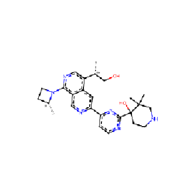 C[C@H](CO)c1cnc(N2CC[C@H]2C)c2cnc(-c3ccnc(C4(O)CCNCC4(C)C)n3)cc12